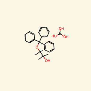 CC(C)(O)C(C)(C)OC(c1ccccc1)(c1ccccc1)c1ccccc1.OB(O)O